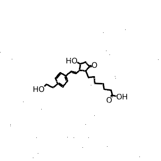 O=C(O)CCCCCCC1C(=O)CC(O)C1/C=C/c1ccc(CCO)cc1